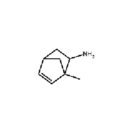 CC12C=CC(CC1N)C2